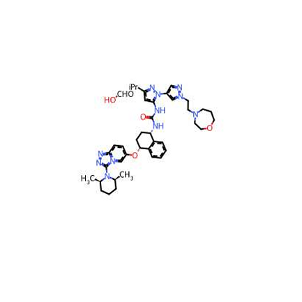 CC(C)c1cc(NC(=O)N[C@H]2CC[C@@H](Oc3ccc4nnc(N5[C@H](C)CCC[C@@H]5C)n4c3)c3ccccc32)n(-c2cnn(CCN3CCCOCC3)c2)n1.O=CO